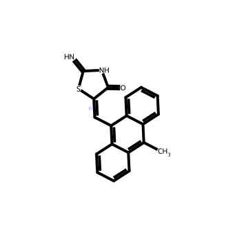 Cc1c2ccccc2c(/C=C2/SC(=N)NC2=O)c2ccccc12